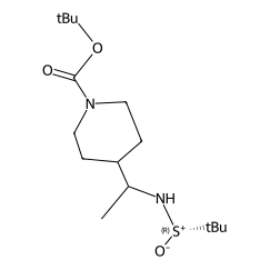 CC(N[S@@+]([O-])C(C)(C)C)C1CCN(C(=O)OC(C)(C)C)CC1